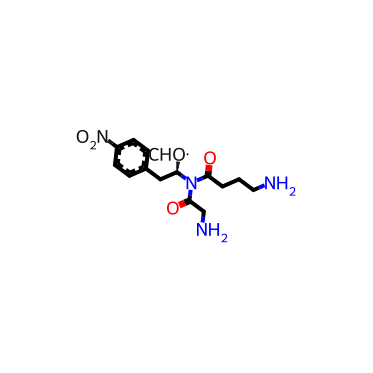 NCCCC(=O)N(C(=O)CN)[C@H]([C]=O)Cc1ccc([N+](=O)[O-])cc1